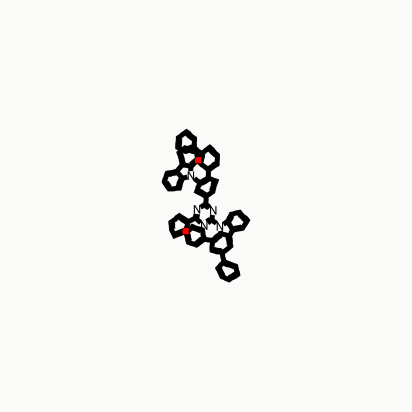 c1ccc(-c2cccc(-c3ccc(-c4nc(-c5ccccc5)nc(-n5c6ccccc6c6cc(-c7ccccc7)cc(-c7ccccc7)c65)n4)cc3-n3c4ccccc4c4ccccc43)c2)cc1